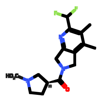 Cc1c(C(F)F)nc2c(c1C)CN(C(=O)[C@@H]1CCN(C(=O)O)C1)C2